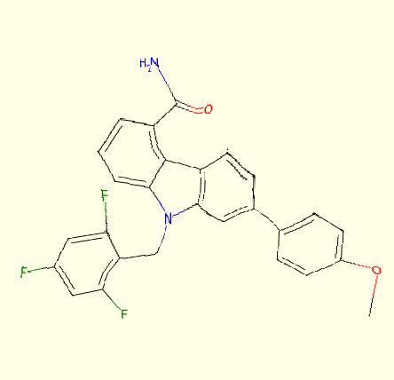 COc1ccc(-c2c[c]c3c4c(C(N)=O)cccc4n(Cc4c(F)cc(F)cc4F)c3c2)cc1